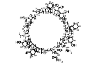 CCCC[C@H]1C(=O)N2CCC[C@@H]2C(=O)N[C@@H](CC(=O)O)C(=O)N[C@@H](C(C)C)C(=O)N(C)[C@@H](Cc2ccccc2)C(=O)N[C@@H](CCC(=O)O)C(=O)N2C[C@H](O)C[C@@H]2C(=O)NC(Cc2c[nH]c3ccccc23)C(=O)N[C@@H](Cc2ccc(O)cc2)C(=O)N[C@@H](CCCN)C(=O)N[C@H](C(=O)NCC(N)=O)CSCC(=O)N[C@@H](Cc2cc(F)c(F)c(F)c2)C(=O)N(C)[C@@H](Cc2ccc(O)cc2)C(=O)N1C